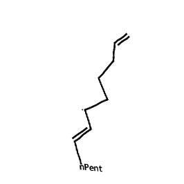 C=CCCC[CH]C=CCCCCC